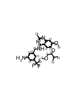 COCC(Oc1cc2c(NCc3cc(N)cc(C(F)(F)F)c3)nc(C)nc2cc1OC)C(C)C